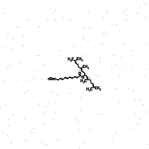 CCCCCCCCCCCC=CC=CC=CC=CC(=O)OC(/C=C(\C)CCC=C(C)C)C/C=C(\C)CCC=C(C)C